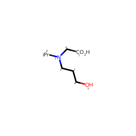 CC(C)N(CCCO)CC(=O)O